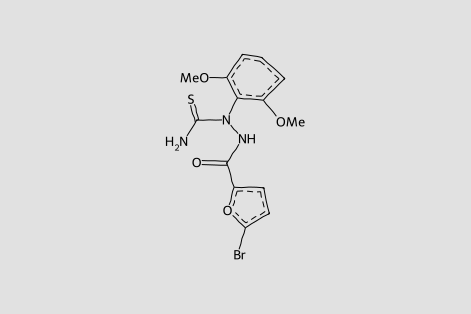 COc1cccc(OC)c1N(NC(=O)c1ccc(Br)o1)C(N)=S